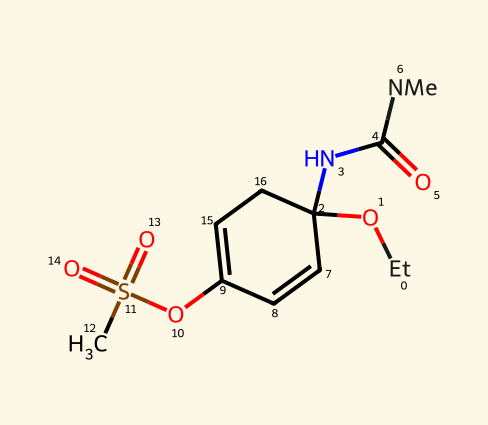 CCOC1(NC(=O)NC)C=CC(OS(C)(=O)=O)=CC1